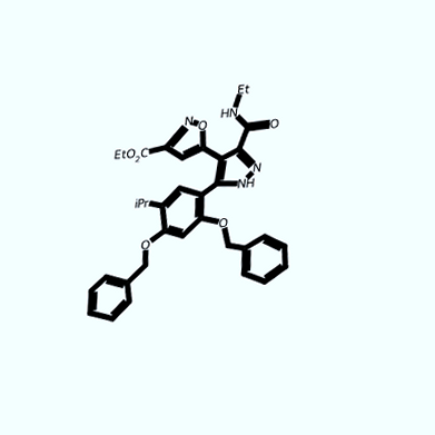 CCNC(=O)c1n[nH]c(-c2cc(C(C)C)c(OCc3ccccc3)cc2OCc2ccccc2)c1-c1cc(C(=O)OCC)no1